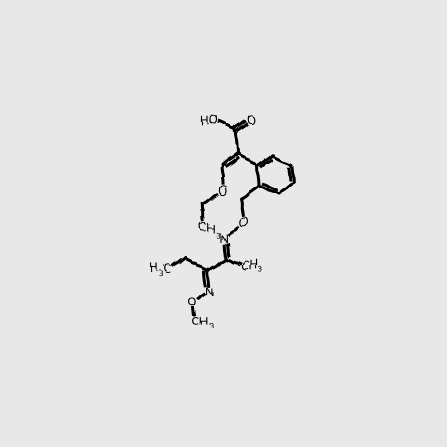 CCO/C=C(/C(=O)O)c1ccccc1CO/N=C(C)/C(CC)=N/OC